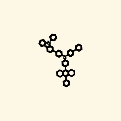 c1ccc(-c2ccc(N(c3ccc(-c4ccc5c6ccccc6n(-c6ccccc6)c5c4)cc3)c3ccc(-c4c5c(c(-c6ccccc6)c6c4CCCC6)CCCC5)cc3)cc2)cc1